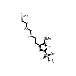 COCCOCOCCc1cc(S(N)(=O)=O)sc1SC